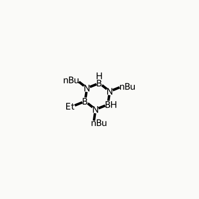 CCCCN1BN(CCCC)B(CC)N(CCCC)B1